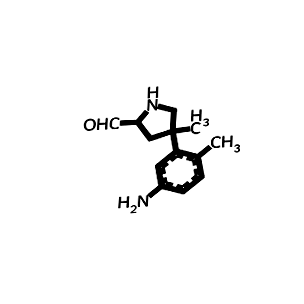 Cc1ccc(N)cc1C1(C)CNC(C=O)C1